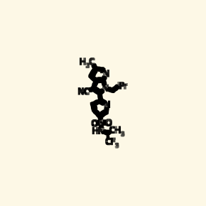 Cc1cnc2c(c1)c(C#N)c(-c1ccc(S(=O)(=O)N[C@@H](C)C(F)(F)F)cn1)n2CC(C)C